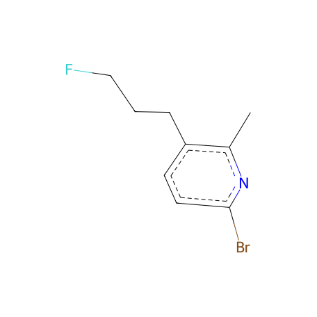 Cc1nc(Br)ccc1CCCF